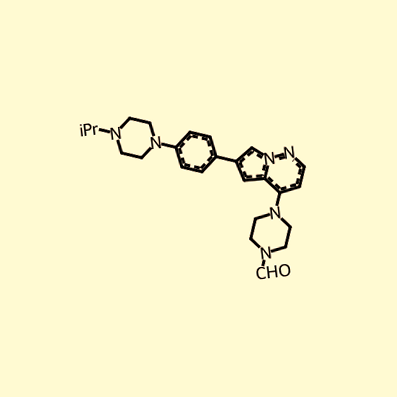 CC(C)N1CCN(c2ccc(-c3cc4c(N5CCN(C=O)CC5)ccnn4c3)cc2)CC1